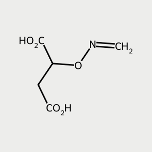 C=NOC(CC(=O)O)C(=O)O